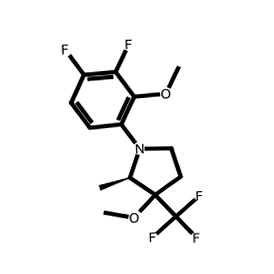 COc1c(N2CCC(OC)(C(F)(F)F)[C@H]2C)ccc(F)c1F